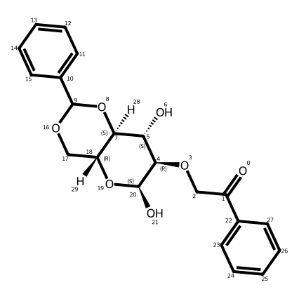 O=C(CO[C@@H]1[C@@H](O)[C@@H]2OC(c3ccccc3)OC[C@H]2O[C@@H]1O)c1ccccc1